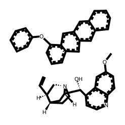 C=C[C@H]1C[N@]2CC[C@H]1C[C@H]2[C@H](O)c1ccnc2ccc(OC)cc12.c1ccc(Oc2cccc3cc4cc5ccccc5cc4cc23)cc1